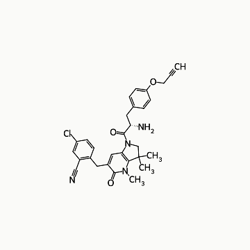 C#CCOc1ccc(C[C@H](N)C(=O)N2CC(C)(C)c3c2cc(Cc2ccc(Cl)cc2C#N)c(=O)n3C)cc1